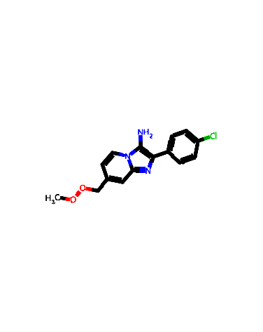 COOCc1ccn2c(N)c(-c3ccc(Cl)cc3)nc2c1